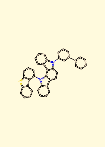 c1ccc(-c2cccc(-n3c4ccccc4c4c3ccc3c5ccccc5n(-c5cccc6sc7ccccc7c56)c34)c2)cc1